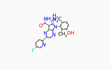 Cc1ccc(O)c(C)c1-n1c(N)c(C(N)=O)c2nc(-c3ccc(F)cn3)cnc21